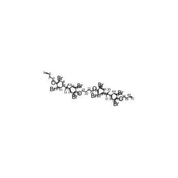 C=CCCOc1c(Br)cc(C(C)(C)c2cc(Br)c(OCCCCOc3c(Br)cc(C(C)(C)c4cc(Br)c(OCCC=C)c(Br)c4)cc3Br)c(Br)c2)cc1Br